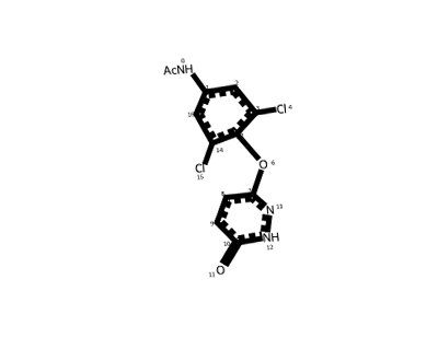 CC(=O)Nc1cc(Cl)c(Oc2ccc(=O)[nH]n2)c(Cl)c1